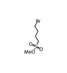 COS(=O)(=O)CCCCBr